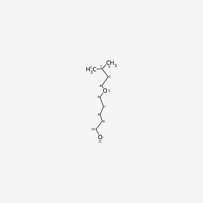 CC(C)CCOCCCCC[O]